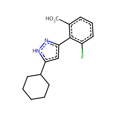 O=C(O)c1cccc(F)c1-c1cc(C2CCCCC2)[nH]n1